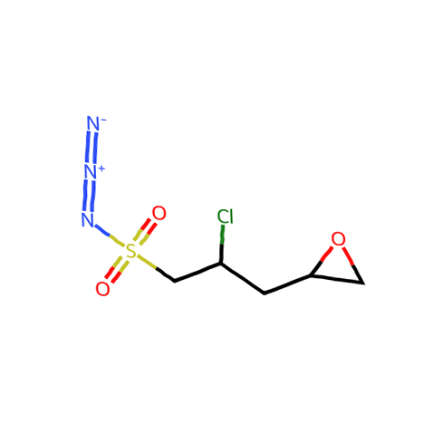 [N-]=[N+]=NS(=O)(=O)CC(Cl)CC1CO1